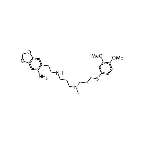 COc1ccc(SCCCN(C)CCCNCCc2cc3c(cc2N)OCO3)cc1OC